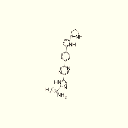 C[C@H](N)c1ncc(-c2cnc(-c3ccc(-c4ccc([C@@H]5CCCN5)[nH]4)cc3)cn2)[nH]1